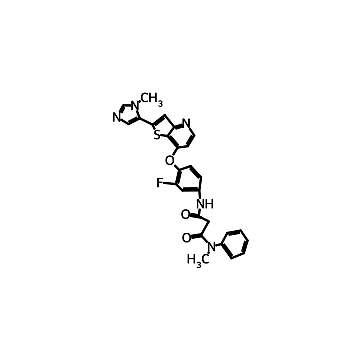 CN(C(=O)CC(=O)Nc1ccc(Oc2ccnc3cc(-c4cncn4C)sc23)c(F)c1)c1ccccc1